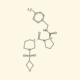 O=C(NCc1ccc(C(F)(F)F)cc1)[C@H]1CCCN1C(=O)[C@H]1CCCN(S(=O)(=O)C2COC2)C1